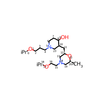 CC(C)OCCCN1CCC(O)C(C[C@@H]2CN(CCOC(C)C)C[C@H](C)O2)C1